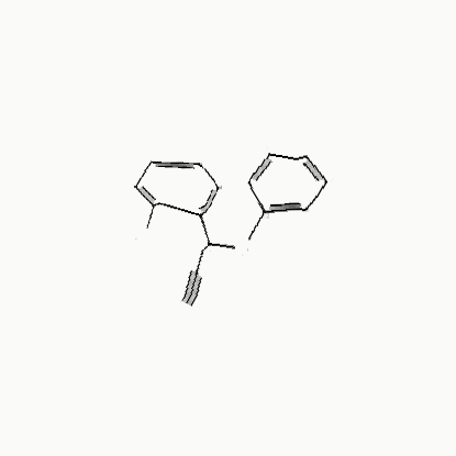 C#CC(Oc1cc[c]cc1)c1ccccc1F